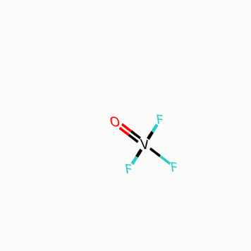 [O]=[V]([F])([F])[F]